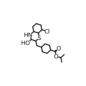 CC(C)OC(=O)C1CCC(CC2SC3C(Cl)CCCC3NC2O)CC1